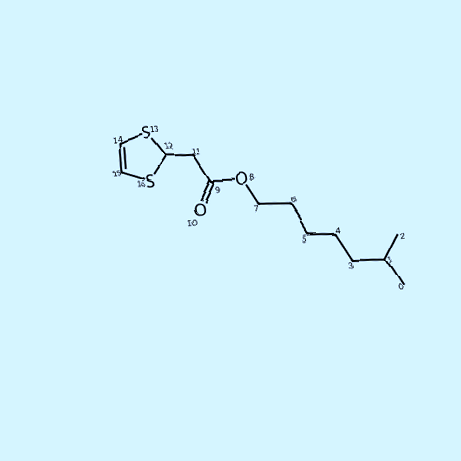 CC(C)CCCCCOC(=O)CC1SC=CS1